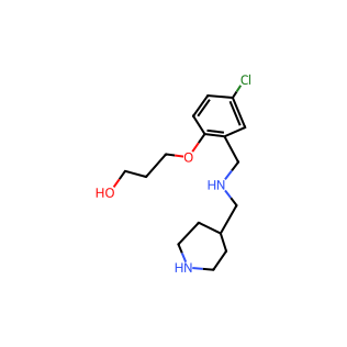 OCCCOc1ccc(Cl)cc1CNCC1CCNCC1